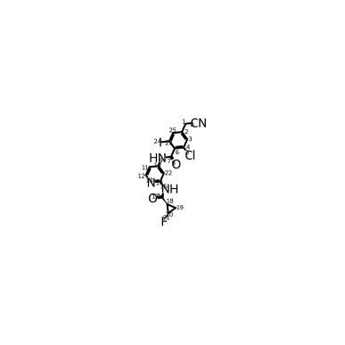 N#CCc1cc(Cl)c(C(=O)Nc2ccnc(NC(=O)[C@H]3C[C@H]3F)c2)c(I)c1